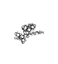 O=C(NC1CC2(CCOCC2)N(O)C2(CCOCC2)C1)N(CCOCCO)C1CC2(CCOCC2)N(O)C2(CCOCC2)C1